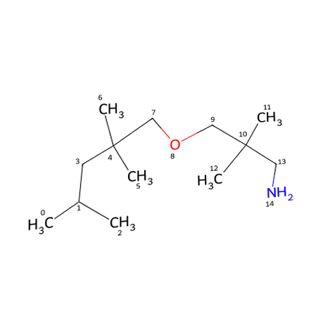 CC(C)CC(C)(C)COCC(C)(C)CN